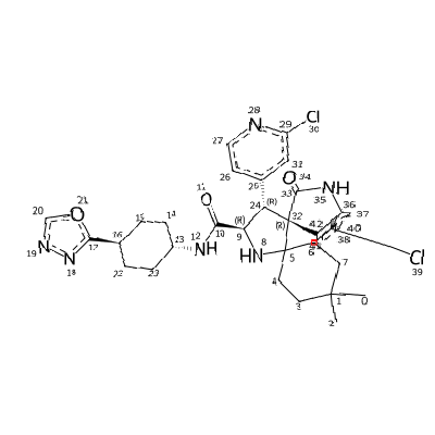 CC1(C)CCC2(CC1)N[C@@H](C(=O)N[C@H]1CC[C@H](c3nnco3)CC1)[C@H](c1ccnc(Cl)c1)[C@]21C(=O)Nc2cc(Cl)ccc21